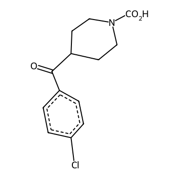 O=C(c1ccc(Cl)cc1)C1CCN(C(=O)O)CC1